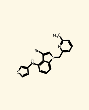 Cc1cccc(Cn2cc(Br)c3c(Nc4ccsc4)cccc32)n1